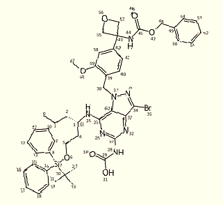 CCC[C@@H](CCO[Si](c1ccccc1)(c1ccccc1)C(C)(C)C)Nc1nc(NC(=O)O)nc2c(Br)nn(Cc3ccc(C4(NC(=O)OCc5ccccc5)COC4)cc3OC)c12